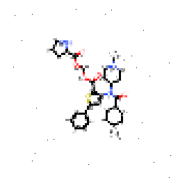 CC1CCC(C(=O)N(c2cc(-c3ccccc3)sc2C(=O)OCOC(=O)C2CCCN2)C2CCN(C)CC2)CC1